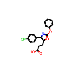 O=C(O)CCc1oc(Oc2ccccc2)nc1-c1ccc(Cl)cc1